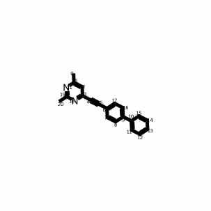 Cc1cc(C#Cc2ccc(-c3ccccc3)cc2)nc(C)n1